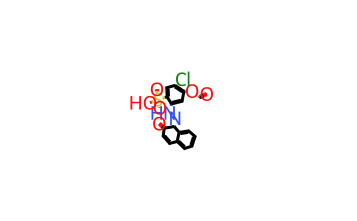 O=COc1cc(N/N=C2\C(=O)C=Cc3ccccc32)c(S(=O)(=O)O)cc1Cl